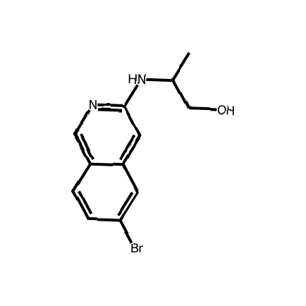 CC(CO)Nc1cc2cc(Br)ccc2cn1